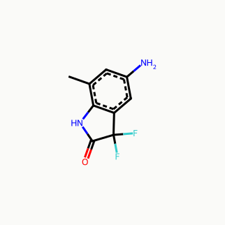 Cc1cc(N)cc2c1NC(=O)C2(F)F